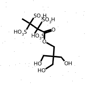 CC(C(C(=O)OCC(CO)(CO)CO)(S(=O)(=O)O)S(=O)(=O)O)(S(=O)(=O)O)S(=O)(=O)O